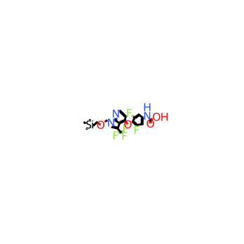 C[Si](C)(C)CCOCn1cc(C(F)(F)F)c2c(Oc3c(F)cc(NC(=O)O)cc3F)ccnc21